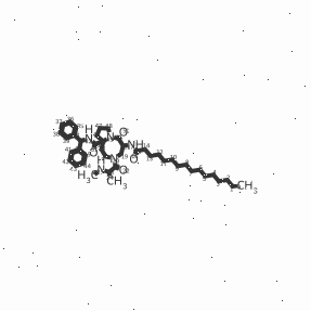 CCCCCCCCCCCCCCCC(=O)NC1CN(C(=O)C(C)NC)CCC2(C(=O)NC(c3ccccc3)c3ccccc3)CCCN2C1=O